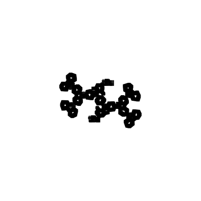 Cc1cc(C(C)(C)C)cc(C)c1N(c1ccc(N(c2ccc(-n3c4ccc(-n5c6ccccc6c6ccccc65)cc4c4cc(-n5c6ccccc6c6ccccc65)ccc43)cc2)c2c(C)cc(C(C)(C)C)cc2C)cc1)c1ccc(-n2c3ccc(-n4c5ccccc5c5ccccc54)cc3c3cc(-n4c5ccccc5c5ccccc54)ccc32)cc1